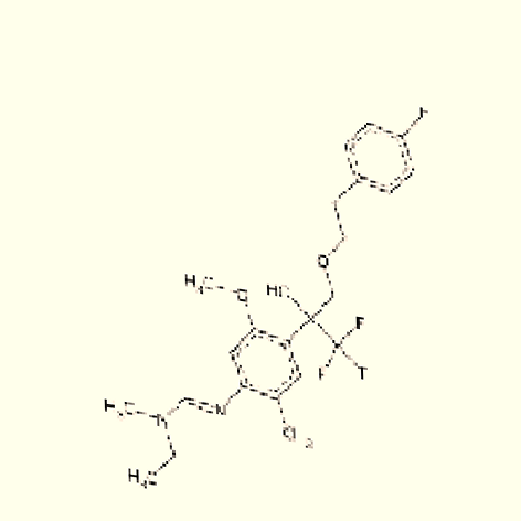 CCN(C)/C=N/c1cc(OC)c(C(O)(COCCc2ccc(F)cc2)C(F)(F)F)cc1C